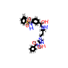 CC(C)(CCn1cnc(N(O)C(=O)c2ccccc2)c1)NCC(O)c1cccc(NS(=O)(=O)c2ccccc2)c1